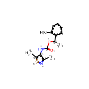 Cc1ccccc1[C@@H](C)OC(=O)Nc1c(C)nsc1C